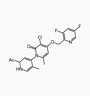 CC(=O)C1C=C(n2c(C)cc(OCc3ncc(F)cc3F)c(Cl)c2=O)C(C)=CN1